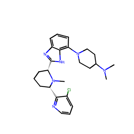 CN(C)C1CCN(c2cccc3nc([C@H]4CCC[C@@H](c5ncccc5Cl)N4C)[nH]c23)CC1